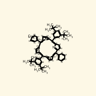 CC(C)(C)c1cc(C2=C3C=CC(=N3)C(c3ccccc3)=C3C=CC(=N3)C(c3cc(C(C)(C)C)cc(C(C)(C)C)c3)=C3C=CC(=N3)C(c3ccccc3)=C3C=CC2=N3)cc(C(C)(C)C)c1.[Cu]